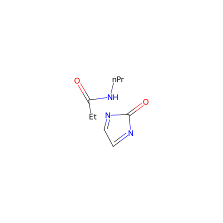 CCCNC(=O)CC.O=C1N=CC=N1